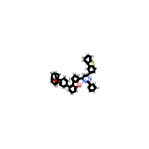 c1ccc(-c2nc(-c3ccc4sc5ccccc5c4c3)cc(-c3cccc4c3oc3cccc(-c5ccc(C67CC8CC(CC(C8)C6)C7)cc5)c34)n2)cc1